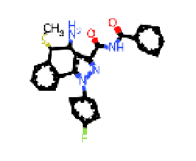 CSC1c2ccccc2-c2c(c(C(=O)NC(=O)c3ccccc3)nn2-c2ccc(F)cc2)C1N